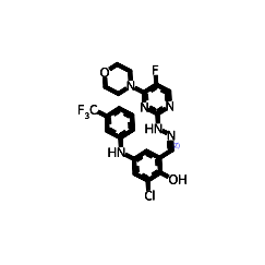 Oc1c(Cl)cc(Nc2cccc(C(F)(F)F)c2)cc1/C=N\Nc1ncc(F)c(N2CCOCC2)n1